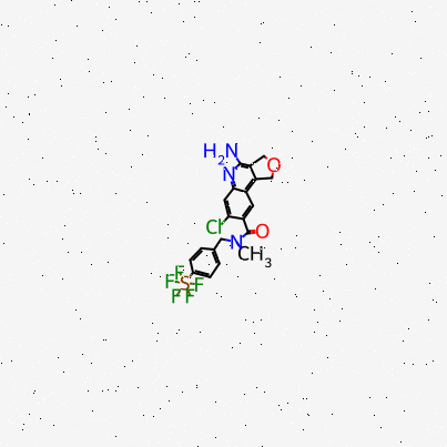 CN(Cc1ccc(S(F)(F)(F)(F)F)cc1)C(=O)c1cc2c3c(c(N)nc2cc1Cl)COC3